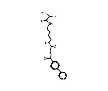 CCCCC(CC)C(=O)NCCCCNC(=O)CCC(=O)c1ccc(-c2ccccc2)cc1